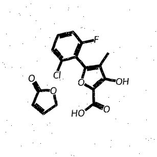 Cc1c(-c2c(F)cccc2Cl)oc(C(=O)O)c1O.O=C1C=CCO1